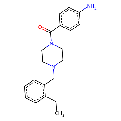 CCc1ccccc1CN1CCN(C(=O)c2ccc(N)cc2)CC1